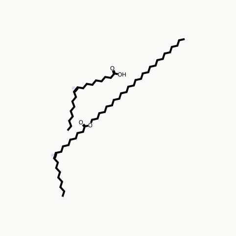 CCCCCCCC/C=C\CCCCCCCC(=O)O.CCCCCCCC/C=C\CCCCCCCC(=O)OCCCCCCCCCCCCCCCCCCCCCCCCCC